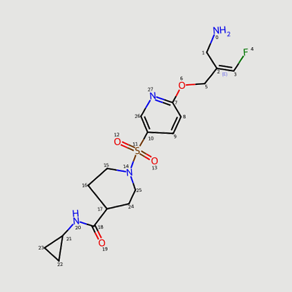 NC/C(=C\F)COc1ccc(S(=O)(=O)N2CCC(C(=O)NC3CC3)CC2)cn1